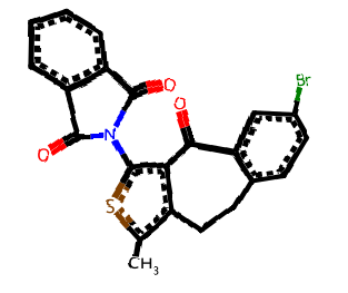 Cc1sc(N2C(=O)c3ccccc3C2=O)c2c1CCc1ccc(Br)cc1C2=O